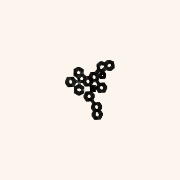 c1ccc(C2(c3ccccc3)c3ccccc3-c3ccc(N(c4cccc(-c5ccc6ccccc6c5)c4)c4ccccc4-c4cccc5c4oc4c6ccccc6ccc54)cc32)cc1